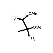 COC(C(F)(F)F)C(C)([SiH3])OC